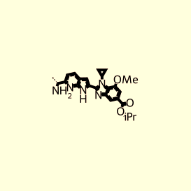 COc1cc(C(=O)OC(C)C)cc2nc(-c3cc4ccc([C@@H](C)N)nc4[nH]3)n(C3CC3)c12